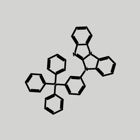 c1ccc(S(c2ccccc2)(c2ccccc2)c2cccc(-n3c4ccccc4n4c5ccccc5nc34)c2)cc1